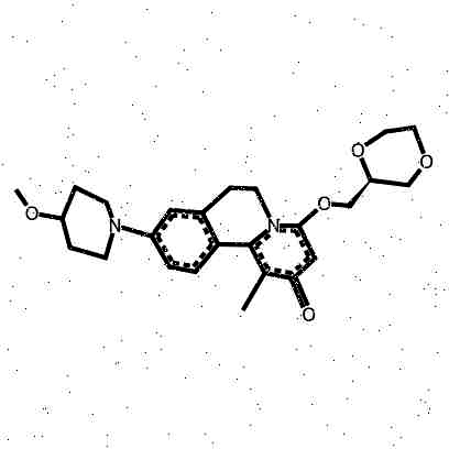 COC1CCN(c2ccc3c(c2)CCn2c(OC[C@@H]4COCCO4)cc(=O)c(C)c2-3)CC1